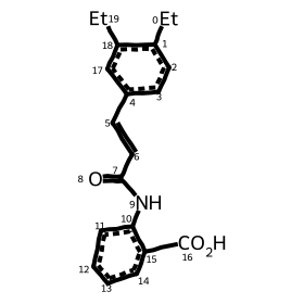 CCc1ccc(/C=C/C(=O)Nc2ccccc2C(=O)O)cc1CC